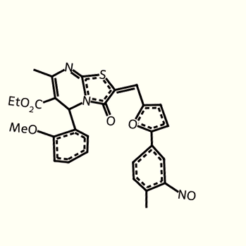 CCOC(=O)C1=C(C)N=c2s/c(=C/c3ccc(-c4ccc(C)c(N=O)c4)o3)c(=O)n2C1c1ccccc1OC